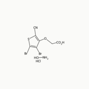 Cl.N#Cc1sc(Br)c(Br)c1OCC(=O)O.NO